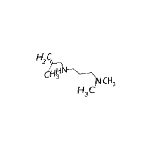 C=C(C)CNCCCN(C)C